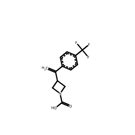 C=C(c1ccc(C(F)(F)F)cc1)C1CN(C(=O)O)C1